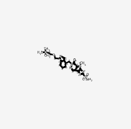 Cn1c2nc(S(N)(=O)=O)sc2c2cnn(Cc3cccc4c3cnn4COCC[Si](C)(C)C)c(=O)c21